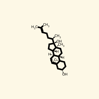 CC(C)=CCC[C@@H](C)[C@@]1(O)CC[C@H]2[C@@H]3CC=C4C[C@@H](O)CC[C@]4(C)[C@H]3CC[C@@]21C